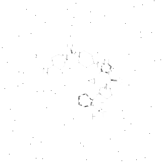 CN(C)C1CCN(C(=O)N2CCC(n3ncc(C(=O)N4CC[C@@H](c5ccccc5C(F)(F)F)C4)c3C3CC3)CC2)CC1